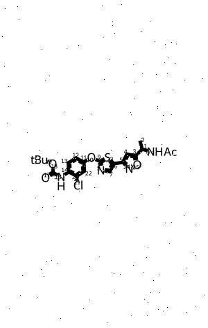 CC(=O)NC(C)c1cc(-c2cnc(Oc3ccc(NC(=O)OC(C)(C)C)c(Cl)c3)s2)no1